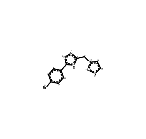 Brc1ccc(-c2nnc(Cn3ccnn3)o2)cc1